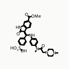 COC(=O)c1ccc2c(c1)NC(=O)C2=C(Nc1ccc(N(C)C(=O)CN2CCN(C)CC2)cc1)c1ccccc1.O=S(=O)(O)O